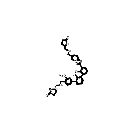 COc1nc(-c2cccc(-c3cccc(-c4nc5ccc(CNCC6CCC(=O)N6)cn5n4)c3Cl)c2Cl)ccc1CNC[C@@H]1CCC(=O)N1